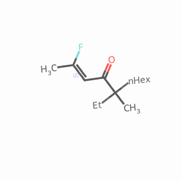 CCCCCCC(C)(CC)C(=O)/C=C(/C)F